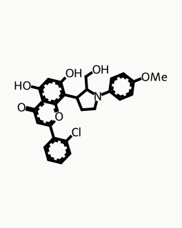 COc1ccc(N2CCC(c3c(O)cc(O)c4c(=O)cc(-c5ccccc5Cl)oc34)C2CO)cc1